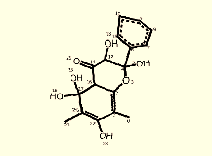 CC1=C2OC(O)(c3ccccc3)C(O)C(=O)C2C(O)(O)C(C)=C1O